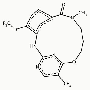 CN1CCCOc2nc(ncc2C(F)(F)F)Nc2cc(ccc2OC(F)(F)F)C1=O